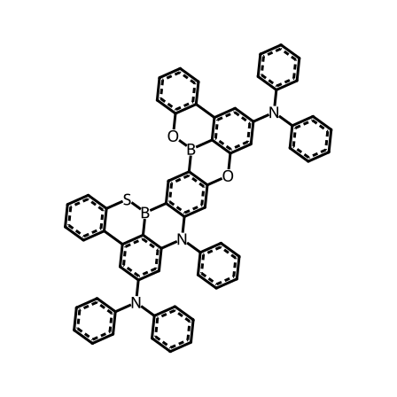 c1ccc(N(c2ccccc2)c2cc3c4c(c2)-c2ccccc2OB4c2cc4c(cc2O3)N(c2ccccc2)c2cc(N(c3ccccc3)c3ccccc3)cc3c2B4Sc2ccccc2-3)cc1